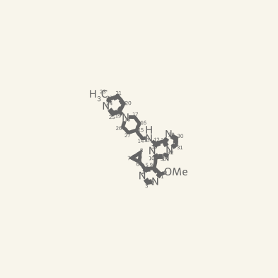 COc1ncnc(C2CC2)c1-c1nc(NCC2CCN(c3ccc(C)nc3)CC2)c2nccn2n1